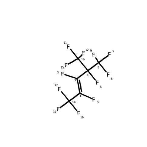 FC(=C(F)C(F)(C(F)(F)F)C(F)(F)F)C(F)(F)F